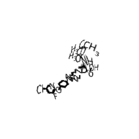 CC(C)(C)OC(=O)N[C@@H]1CN(Cc2nnn(-c3ccc(Oc4ncc(Cl)cc4F)cc3)n2)C[C@H]1C(=O)O